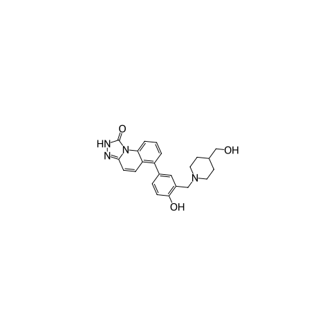 O=c1[nH]nc2ccc3c(-c4ccc(O)c(CN5CCC(CO)CC5)c4)cccc3n12